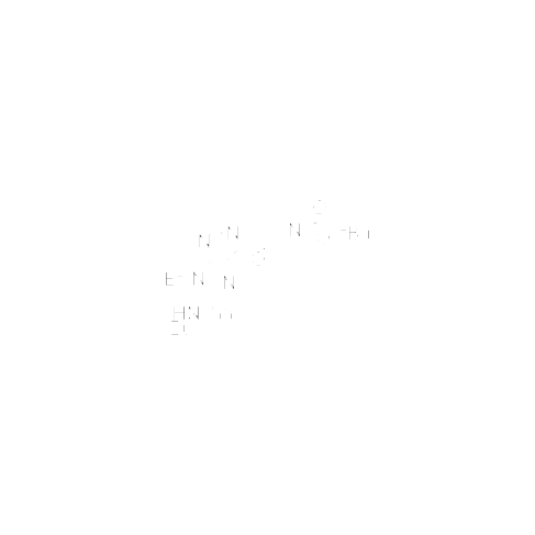 CCNC(=O)c1nc2c(O[C@H]3CCN(C(=O)OC(C)(C)C)C3)ncnc2n1CC